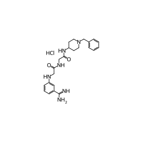 Cl.N=C(N)c1cccc(NCC(=O)NCC(=O)NC2CCN(Cc3ccccc3)CC2)c1